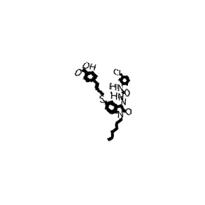 CCCCCCN1C(=O)/C(=N/NC(=O)Nc2cccc(Cl)c2)c2cc(SCCCc3ccc(C(=O)O)cc3)ccc21